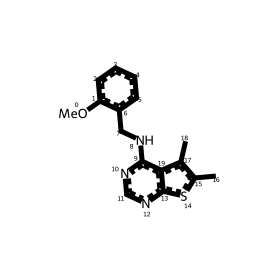 COc1ccccc1CNc1ncnc2sc(C)c(C)c12